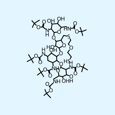 CC(C)(C)OC(=O)NCC1OC(OC2C(CSCCOCCS)OC(OC3C(O)C(NC(=O)OC(C)(C)C)CC(NC(=O)OC(C)(C)C)C3OC3OC(CNC(=O)OC(C)(C)C)C(O)C(O)C3NC(=O)OC(C)(C)C)C2O)C(NC(=O)OC(C)(C)C)C(O)C1O